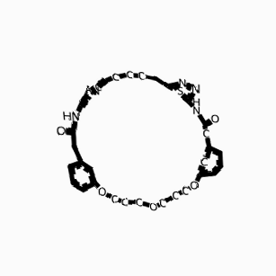 O=C1Cc2cccc(c2)OCCCOCCCOc2cccc(c2)CC(=O)Nc2nnc(s2)CCCCc2ccc(nn2)N1